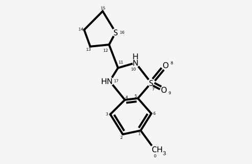 Cc1ccc2c(c1)S(=O)(=O)NC(C1CCCS1)N2